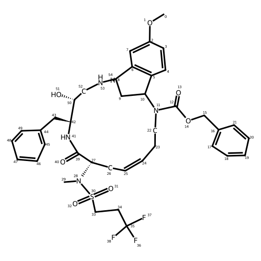 COc1ccc2c(c1)[C@@H]1CC2N(C(=O)OCc2ccccc2)CC/C=C\C[C@H](N(C)S(=O)(=O)CCC(F)(F)F)C(=O)N[C@@H](Cc2ccccc2)[C@H](O)CN1